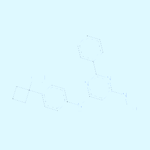 CC(C)(C)Nc1cc(Nc2ccc(C3(C(=O)O)CCC3)cc2)nc(-c2ccccc2)n1